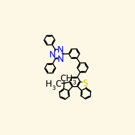 CC1(C)c2ccccc2-c2c1cc(-c1cccc(-c3cccc(-c4nc(-c5ccccc5)nc(-c5ccccc5)n4)c3)c1)c1sc3ccccc3c21